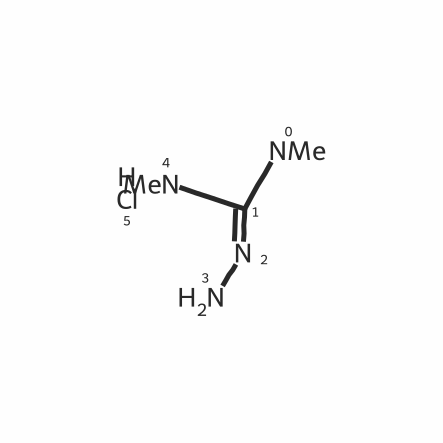 CNC(=NN)NC.Cl